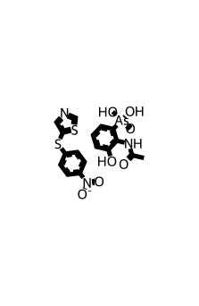 CC(=O)Nc1c(O)cccc1[As](=O)(O)O.O=[N+]([O-])c1ccc(Sc2cncs2)cc1